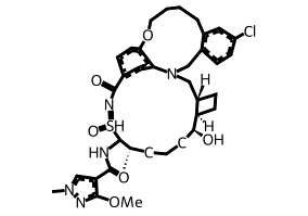 COc1nn(C)cc1C(=O)NC1[C@@H](C)CCC[C@H](O)[C@@H]2CC[C@H]2CN2Cc3ccc(Cl)cc3CCCCOc3ccc(cc32)C(=O)/N=[SH]\1=O